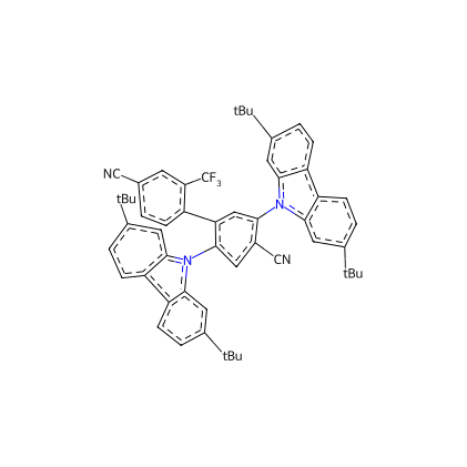 CC(C)(C)c1ccc2c3ccc(C(C)(C)C)cc3n(-c3cc(-c4ccc(C#N)cc4C(F)(F)F)c(-n4c5cc(C(C)(C)C)ccc5c5ccc(C(C)(C)C)cc54)cc3C#N)c2c1